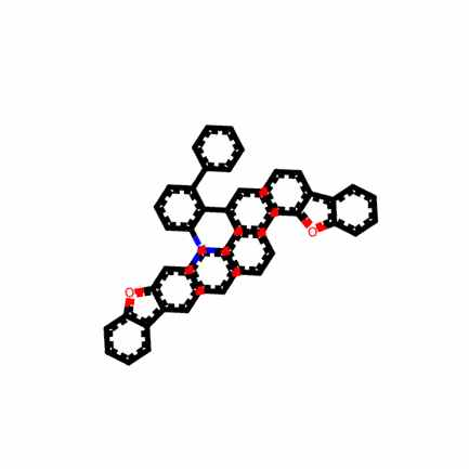 c1ccc(-c2ccccc2-c2c(-c3ccccc3)cccc2N(c2cccc(-c3cccc4c3oc3ccccc34)c2)c2ccc3c(c2)oc2ccccc23)cc1